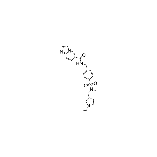 CCN1CCC(CN(C)S(=O)(=O)c2ccc(CNC(=O)c3ccc4nccn4c3)cc2)C1